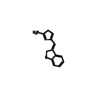 CC1=CC(C=C2CSc3ccccc32)=CC1